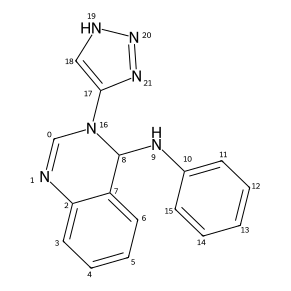 C1=Nc2ccccc2C(Nc2ccccc2)N1c1c[nH]nn1